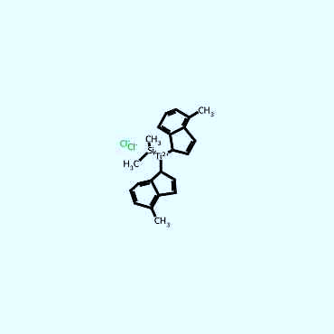 Cc1cccc2c1C=C[CH]2[Ti+2]([CH]1C=Cc2c(C)cccc21)=[Si](C)C.[Cl-].[Cl-]